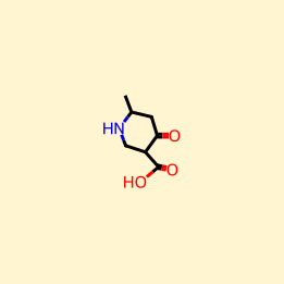 CC1CC(=O)C(C(=O)O)CN1